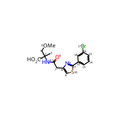 COCC(C)(NC(=O)Cc1csc(-c2cccc(Br)c2)n1)C(=O)O